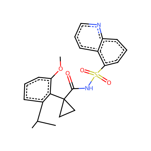 COc1cccc(C(C)C)c1C1(C(=O)NS(=O)(=O)c2cccc3ncccc23)CC1